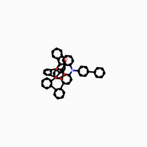 c1ccc(-c2ccc(N(c3ccc4c(c3)C3(c5ccccc5-c5ccccc5-4)c4ccccc4-c4c3ccc3oc5ccccc5c43)c3ccccc3-c3ccccc3)cc2)cc1